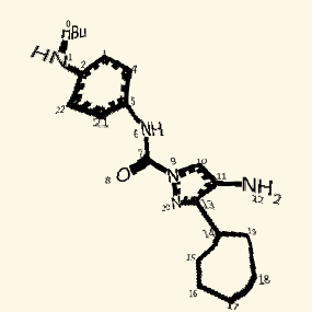 CCCCNc1ccc(NC(=O)n2cc(N)c(C3CCCCC3)n2)cc1